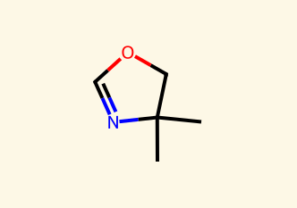 CC1(C)COC=N1